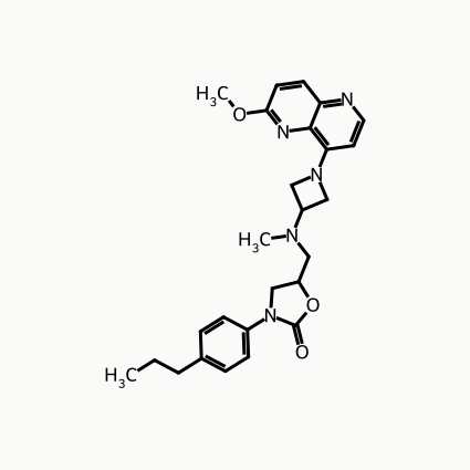 CCCc1ccc(N2CC(CN(C)C3CN(c4ccnc5ccc(OC)nc45)C3)OC2=O)cc1